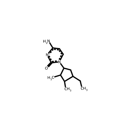 CCC1CC(n2ccc(N)nc2=O)C(C)C1C